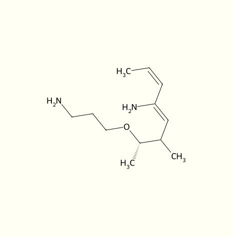 C/C=C\C(N)=C\C(C)[C@H](C)OCCCN